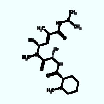 C/C(=C\[C@H](C(C)C)N(C)C(=O)[C@@H](NC(=O)[C@H]1CCCCN1C)C(C)C)C(=O)NN(C)C